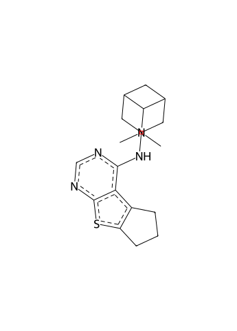 CN(C)C1C2CC(Nc3ncnc4sc5c(c34)CCC5)CC1C2